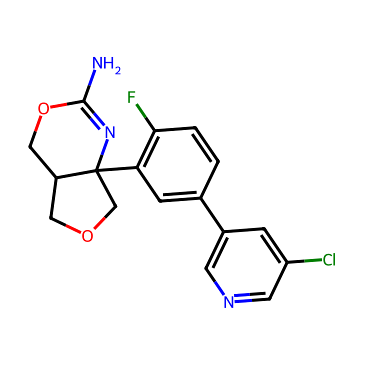 NC1=NC2(c3cc(-c4cncc(Cl)c4)ccc3F)COCC2CO1